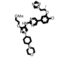 COCCOc1nn([C@H]2CC[C@H](N3CCOCC3)CC2)cc1Nc1ncc(-c2ccc(Cl)c(O[C@@H](C)Cn3cncn3)c2)cn1